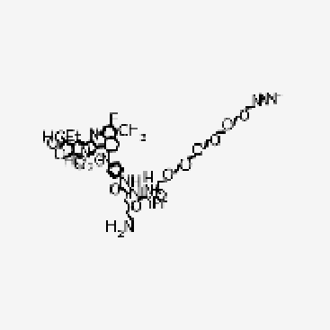 CC[C@@]1(O)C(=O)OCc2c1cc1n(c2=O)Cc2c-1nc1cc(F)c(C)c3c1c2[C@@H](N(C(=O)O)c1ccc(NC(=O)[C@H](CCCCN)NC(=O)[C@@H](NC(=O)CCOCCOCCOCCOCCOCCOCCN=[N+]=[N-])C(C)C)cc1)CC3